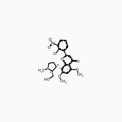 COc1cc(OC)c2c(=O)cc(-c3cccc([N+](=O)[O-])c3Cl)oc2c1[C@H]1CCN(C)[C@@H]1CO